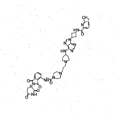 Cc1cccc(C(=O)NC2CC(n3cnc4c(NC5CCN(CCCN6CCN(C(=O)CNc7cccc8c7C(=O)N([C@H]7CCC(=O)NC7=O)C8=O)CC6)CC5)ncnc43)C2)n1